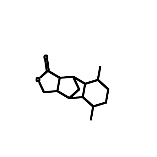 CC1CCC(C)C2C3CC(C4COC(=O)C43)C12